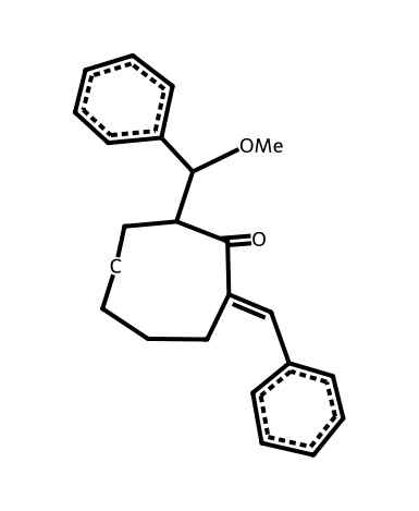 COC(c1ccccc1)C1CCCCCC(=Cc2ccccc2)C1=O